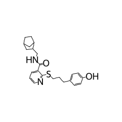 O=C(NCC1CC2CCC1C2)c1cccnc1SCCCc1ccc(O)cc1